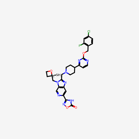 O=c1[nH]c(-c2cc3nc(CN4CCC(c5ccnc(OCc6ccc(Cl)cc6F)n5)CC4)n(C[C@]4([SiH3])CCO4)c3cn2)no1